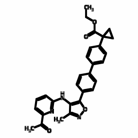 CCOC(=O)C1(c2ccc(-c3ccc(-c4onc(C)c4Nc4cccc(C(C)=O)n4)cc3)cc2)CC1